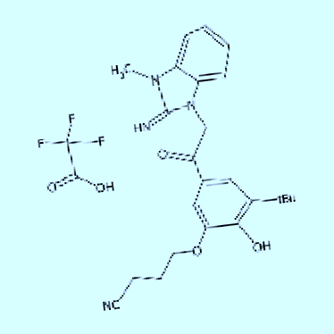 Cn1c(=N)n(CC(=O)c2cc(OCCCC#N)c(O)c(C(C)(C)C)c2)c2ccccc21.O=C(O)C(F)(F)F